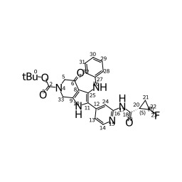 CC(C)(C)OC(=O)N1CC(=O)c2c([nH]c(-c3ccnc(NC(=O)[C@@H]4C[C@H]4F)c3)c2Nc2ccccc2)C1